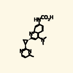 Cc1ccnc([C@H]2C[C@@H]2c2cc(N(C)C)c3ccc(NC(=O)O)cc3n2)n1